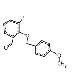 COc1ccc(COc2c(I)cccc2C=O)cc1